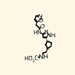 O=C(O)NCC[C@@H]1CC[C@H](c2cc(NC(=O)Cc3ccno3)n[nH]2)C1